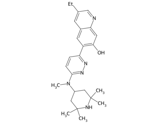 CCc1cnc2cc(O)c(-c3ccc(N(C)C4CC(C)(C)NC(C)(C)C4)nn3)cc2c1